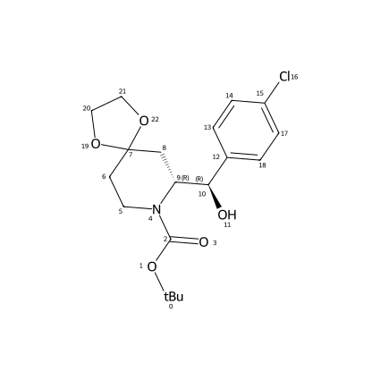 CC(C)(C)OC(=O)N1CCC2(C[C@@H]1[C@H](O)c1ccc(Cl)cc1)OCCO2